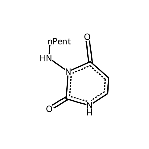 CCCCCNn1c(=O)cc[nH]c1=O